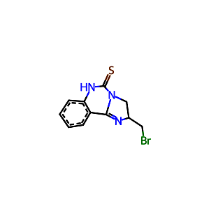 S=C1Nc2ccccc2C2=NC(CBr)CN12